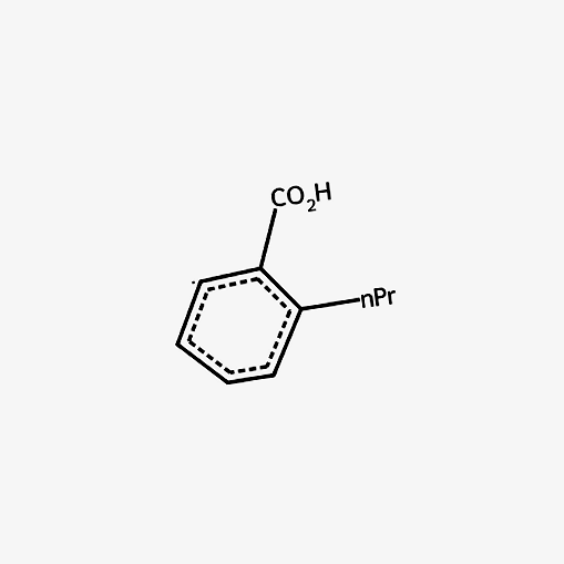 CCCc1ccc[c]c1C(=O)O